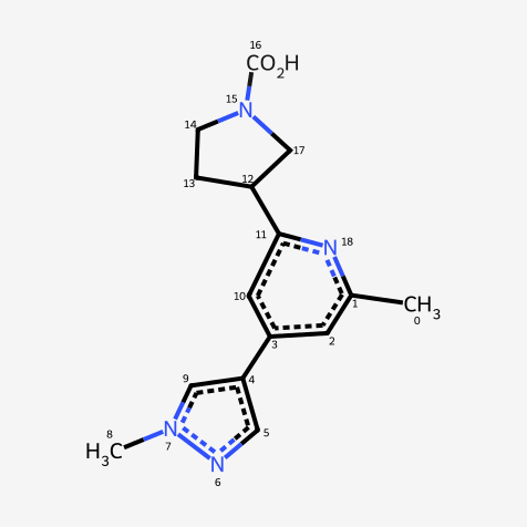 Cc1cc(-c2cnn(C)c2)cc(C2CCN(C(=O)O)C2)n1